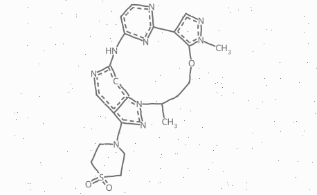 CC1CCOc2c(cnn2C)-c2nccc(n2)Nc2cc3c(cn2)c(N2CCS(=O)(=O)CC2)nn31